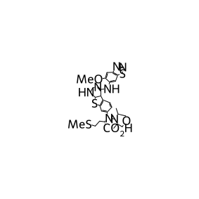 COc1cc2nnsc2cc1NC1=NCNC2Sc3cc(N([C@@H](CCSC)C(=O)O)N4C(C)COCC4C)ccc3C12